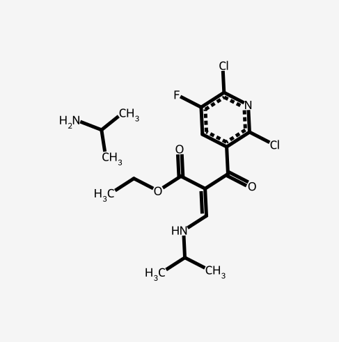 CC(C)N.CCOC(=O)C(=CNC(C)C)C(=O)c1cc(F)c(Cl)nc1Cl